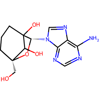 Nc1ncnc2c1ncn2[C@@H]1O[C@@]2(CO)CCCC1(O)C2O